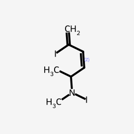 C=C(I)/C=C\C(C)N(C)I